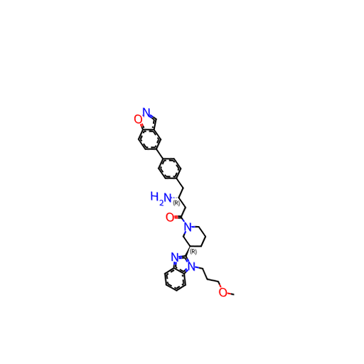 COCCCn1c([C@@H]2CCCN(C(=O)C[C@H](N)Cc3ccc(-c4ccc5oncc5c4)cc3)C2)nc2ccccc21